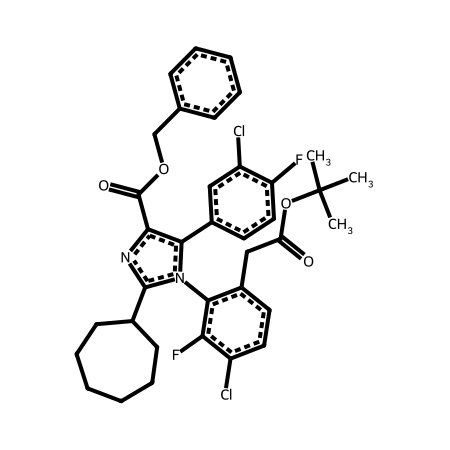 CC(C)(C)OC(=O)Cc1ccc(Cl)c(F)c1-n1c(C2CCCCCC2)nc(C(=O)OCc2ccccc2)c1-c1ccc(F)c(Cl)c1